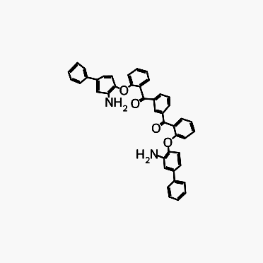 Nc1cc(-c2ccccc2)ccc1Oc1ccccc1C(=O)c1cccc(C(=O)c2ccccc2Oc2ccc(-c3ccccc3)cc2N)c1